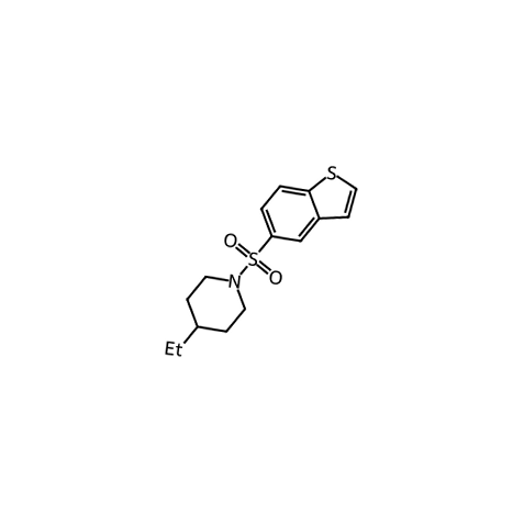 CCC1CCN(S(=O)(=O)c2ccc3sccc3c2)CC1